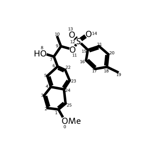 COc1ccc2cc(C(O)C(C)OS(=O)(=O)c3ccc(C)cc3)ccc2c1